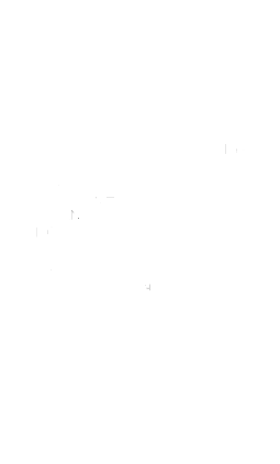 CCCCCCCCCCCCCCCC(c1ccccc1)[N+](C)(C)C.[Br-]